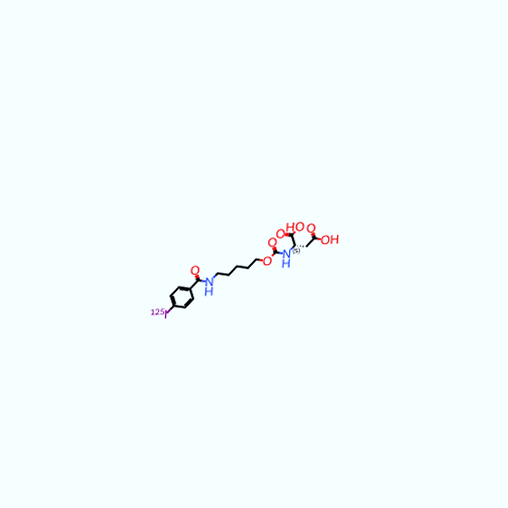 O=C(O)C[C@H](NC(=O)OCCCCCNC(=O)c1ccc([125I])cc1)C(=O)O